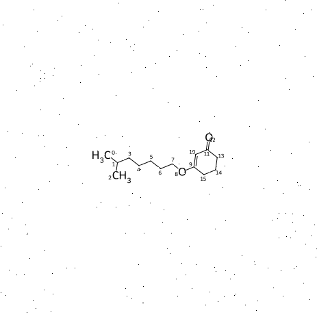 CC(C)CCCCCOC1=CC(=O)CCC1